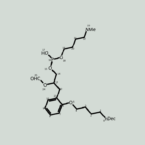 CCCCCCCCCCCCCCOc1ccccc1CC(COP(O)OCCCCNC)OC=O